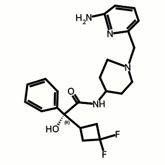 Nc1cccc(CN2CCC(NC(=O)[C@](O)(c3ccccc3)C3CC(F)(F)C3)CC2)n1